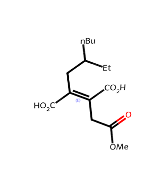 CCCCC(CC)C/C(C(=O)O)=C(/CC(=O)OC)C(=O)O